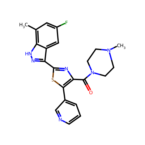 Cc1cc(F)cc2c(-c3nc(C(=O)N4CCN(C)CC4)c(-c4cccnc4)s3)n[nH]c12